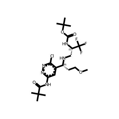 COCC[C@@H](NC[C@H](NC(=O)OC(C)(C)C)C(F)(F)F)c1cc(NC(=O)C(C)(C)C)nnc1Cl